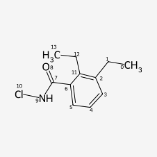 CCc1cccc(C(=O)NCl)c1CC